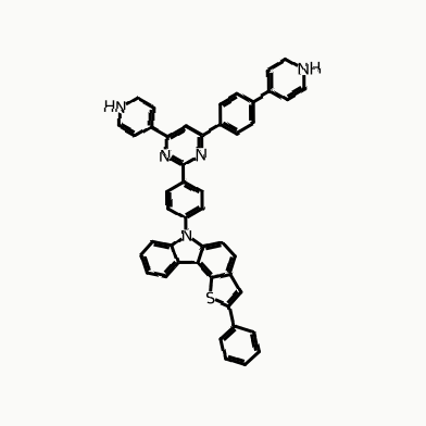 C1=CC(c2ccc(-c3cc(C4=CCNC=C4)nc(-c4ccc(-n5c6ccccc6c6c7sc(-c8ccccc8)cc7ccc65)cc4)n3)cc2)=CCN1